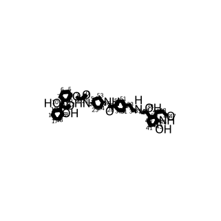 O=C(COc1cccc([C@](O)(C(=O)O)c2ccccc2)c1)N[C@H]1CC[C@H](NC(=O)c2ccc(CCNC[C@H](O)c3ccc(O)c4[nH]c(=O)ccc34)cc2)CC1